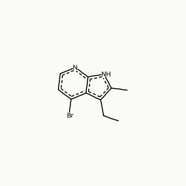 CCc1c(C)[nH]c2nccc(Br)c12